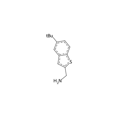 CC(C)(C)c1ccc2sc(CN)cc2c1